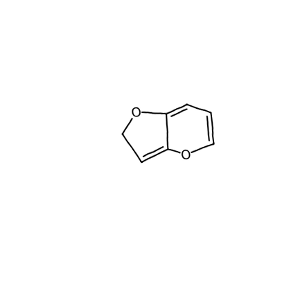 C1=COC2=CCOC2=C1